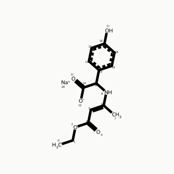 CCOC(=O)C=C(C)NC(C(=O)[O-])c1ccc(O)cc1.[Na+]